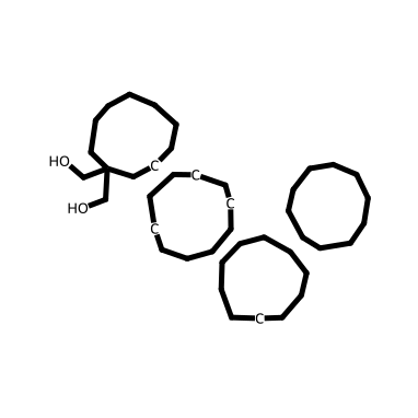 C1CCCCCCCCC1.C1CCCCCCCCC1.C1CCCCCCCCC1.OCC1(CO)CCCCCCCCC1